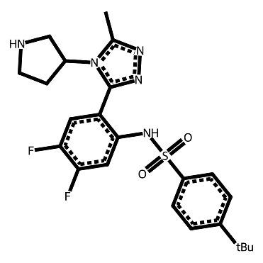 Cc1nnc(-c2cc(F)c(F)cc2NS(=O)(=O)c2ccc(C(C)(C)C)cc2)n1C1CCNC1